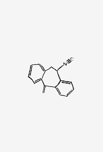 [C-]#[N+]C1Cc2ccccc2C(=C)c2ccccc21